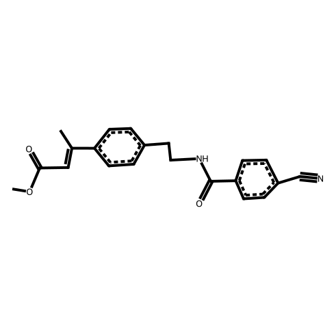 COC(=O)C=C(C)c1ccc(CCNC(=O)c2ccc(C#N)cc2)cc1